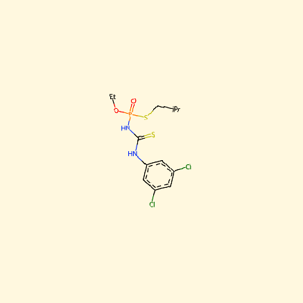 CCOP(=O)(NC(=S)Nc1cc(Cl)cc(Cl)c1)SCC(C)C